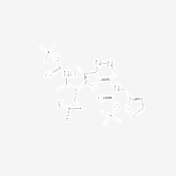 Cc1c(C(C(C)NC(=O)OC(C)(C)C)C2CC2(F)F)sc2c(N(Cc3cccs3)C(=O)OC(C)(C)C)cnnc12